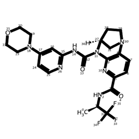 C[C@@H](NC(=O)c1ccc2c(n1)N(C(=O)Nc1cc(N3CCOCC3)ccn1)[C@H]1CCN2C1)C(F)(F)F